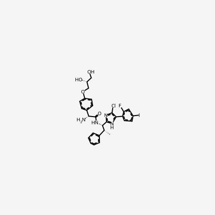 C[C@H](c1ccccc1)[C@H](NC(=O)[C@H](N)c1ccc(OC[C@H](O)CO)cc1)c1nc(Cl)c(-c2ccc(I)cc2F)[nH]1